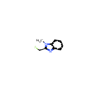 [CH2]n1c(CF)nc2ccccc21